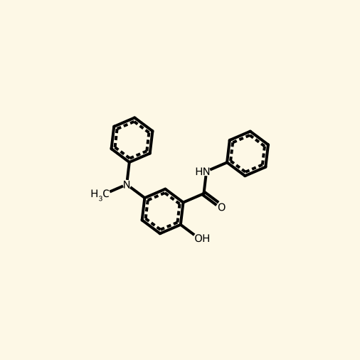 CN(c1ccccc1)c1ccc(O)c(C(=O)Nc2ccccc2)c1